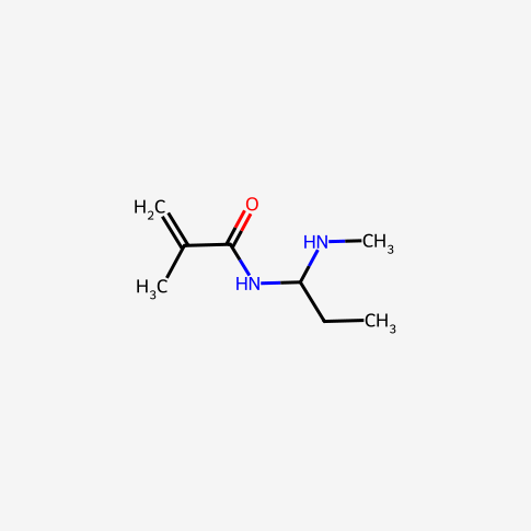 C=C(C)C(=O)NC(CC)NC